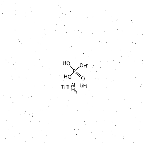 O=P(O)(O)O.[AlH3].[LiH].[Ti].[Ti]